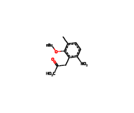 CCCCOc1c(C)ccc([N+](=O)[O-])c1CC(=O)C(=O)O